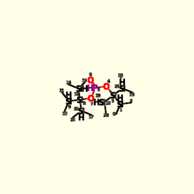 C[SiH](C)[Si](O[PH](=O)O[Si]([SiH](C)C)([SiH](C)C)[SiH](C)C)([SiH](C)C)[SiH](C)C